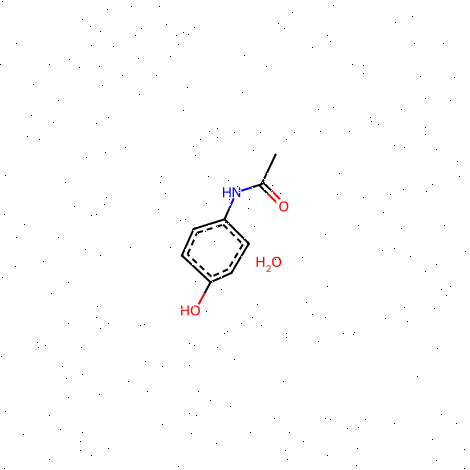 CC(=O)Nc1ccc(O)cc1.O